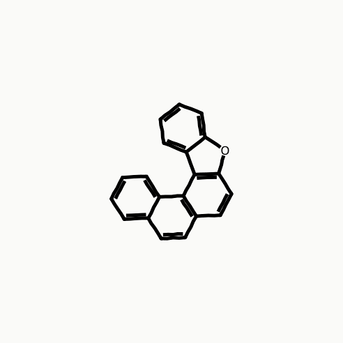 c1ccc2c(c1)ccc1ccc3oc4ccccc4c3c12